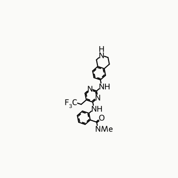 CNC(=O)c1ccccc1Nc1nc(Nc2ccc3c(c2)CCNC3)ncc1CC(F)(F)F